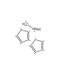 C1=CCC=C1.C1=CCC=C1.CCCCCC